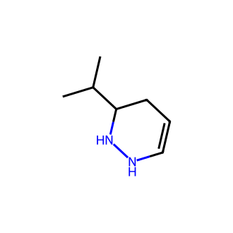 CC(C)C1CC=CNN1